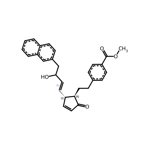 COC(=O)c1ccc(CC[C@H]2C(=O)C=C[C@@H]2/C=C/C(O)Cc2ccc3ccccc3c2)cc1